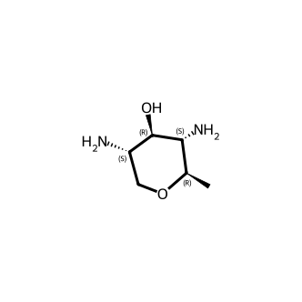 C[C@H]1OC[C@H](N)[C@@H](O)[C@@H]1N